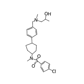 CC(O)CN(C)Cc1ccc(C2CCC(N(C)S(=O)(=O)c3ccc(Cl)cc3)CC2)cc1